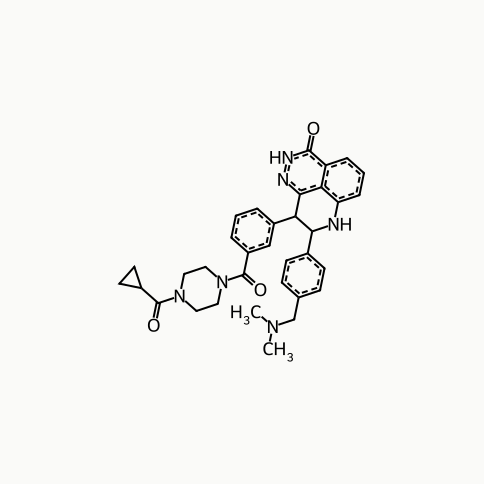 CN(C)Cc1ccc(C2Nc3cccc4c(=O)[nH]nc(c34)C2c2cccc(C(=O)N3CCN(C(=O)C4CC4)CC3)c2)cc1